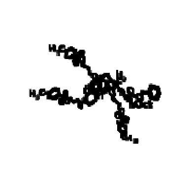 CCCCCCCCN(CCCC(C)[C@H]1CC[C@H]2C3[C@H](OCCCOS(=O)(=O)c4ccc(C)cc4)C[C@@H]4C[C@H](OCCCOS(=O)(=O)c5ccc(C)cc5)CCC4(C)[C@H]3C[C@H](OCCCOS(=O)(=O)c3ccc(C)cc3)C12C)C(=O)OCc1ccccc1